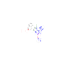 CN1CCCCC1COc1nc(N2CC3CCC(C2)N3)c2cc(Cl)c(-c3cc(O)cc4ccccc34)c(F)c2n1